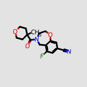 CC1(C(=O)N2CCOc3cc(C#N)cc(F)c3C2)CCOCC1